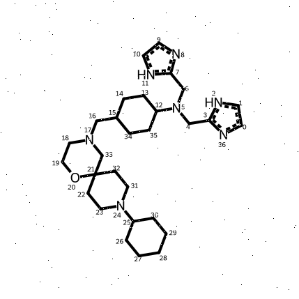 c1c[nH]c(CN(Cc2ncc[nH]2)C2CCC(CN3CCOC4(CCN(C5CCCCC5)CC4)C3)CC2)n1